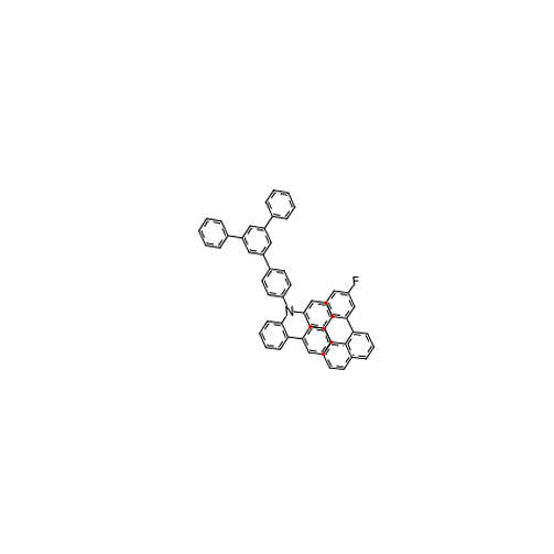 Fc1cccc(-c2cccc3cccc(-c4cccc(N(c5ccc(-c6cc(-c7ccccc7)cc(-c7ccccc7)c6)cc5)c5ccccc5-c5ccccc5)c4)c23)c1